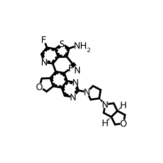 N#Cc1c(N)sc2c(F)cnc(-c3c4c(c5cnc(N6CC[C@@H](N7C[C@H]8COC[C@H]8C7)C6)nc5c3F)COC4)c12